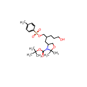 Cc1ccc(S(=O)(=O)OCC(CCCO)CC2COC(C)(C)N2C(=O)OC(C)(C)C)cc1